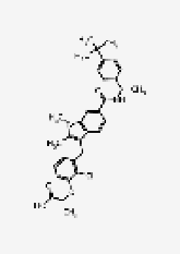 Cc1c(Cc2cccc(O[C@H](C)C(=O)O)c2Cl)c2ccc(C(=O)N[C@@H](C)c3ccc(C(C)(C)C)cc3)cc2n1C